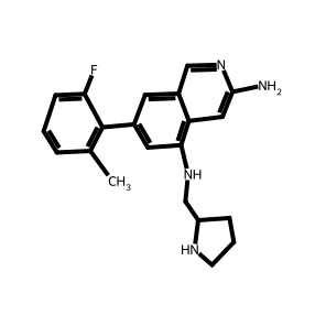 Cc1cccc(F)c1-c1cc(NCC2CCCN2)c2cc(N)ncc2c1